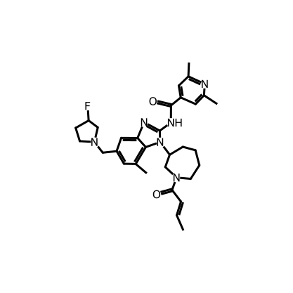 CC=CC(=O)N1CCCCC(n2c(NC(=O)c3cc(C)nc(C)c3)nc3cc(CN4CCC(F)C4)cc(C)c32)C1